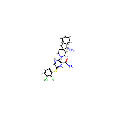 NC(=O)c1nc(Sc2cccc(Cl)c2Cl)cnc1N1CCC2(CC1)Cc1ccccc1[C@H]2N